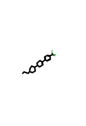 CCCC1CCC(C2CC=C(c3ccc(C(F)F)cc3)CC2)CC1